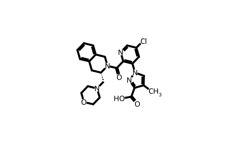 Cc1cn(-c2cc(Cl)cnc2C(=O)N2Cc3ccccc3C[C@H]2CN2CCOCC2)nc1C(=O)O